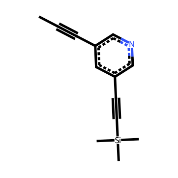 CC#Cc1cncc(C#C[Si](C)(C)C)c1